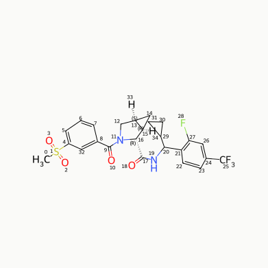 CS(=O)(=O)c1cccc(C(=O)N2C[C@H]3C[C@H]3[C@@H]2C(=O)NC(c2ccc(C(F)(F)F)cc2F)C2CC2)c1